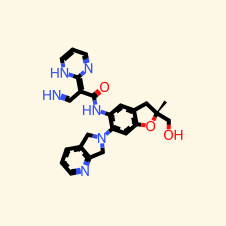 C[C@]1(CO)Cc2cc(NC(=O)/C(C=N)=C3\N=CC=CN3)c(N3Cc4cccnc4C3)cc2O1